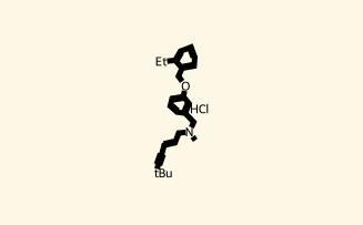 CCc1ccccc1COc1cccc(CN(C)CC=CC#CC(C)(C)C)c1.Cl